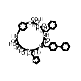 O=C(O)[C@@H]1Cc2ccc(cc2)NC(=O)[C@H](O)[C@@H](O)C(=O)N[C@@H](Cc2cccs2)C(=O)N[C@H](Cc2ccc(-c3ccccc3)cc2)C(=O)N[C@@H](Cc2ccccc2)C(=O)N1